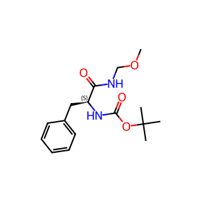 COCNC(=O)[C@H](Cc1ccccc1)NC(=O)OC(C)(C)C